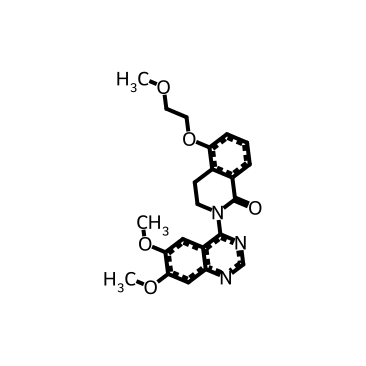 COCCOc1cccc2c1CCN(c1ncnc3cc(OC)c(OC)cc13)C2=O